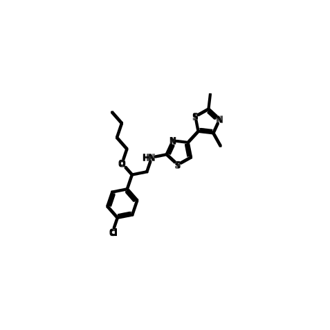 CCCCOC(CNc1nc(-c2sc(C)nc2C)cs1)c1ccc(Cl)cc1